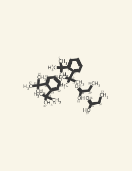 CC(C)(C)c1ccccc1C(C)(C)C.CC(C)(C)c1ccccc1C(C)(C)C.CCC(=O)O.CCC(=O)O